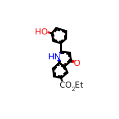 CCOC(=O)c1ccc2[nH]c(-c3cccc(O)c3)cc(=O)c2c1